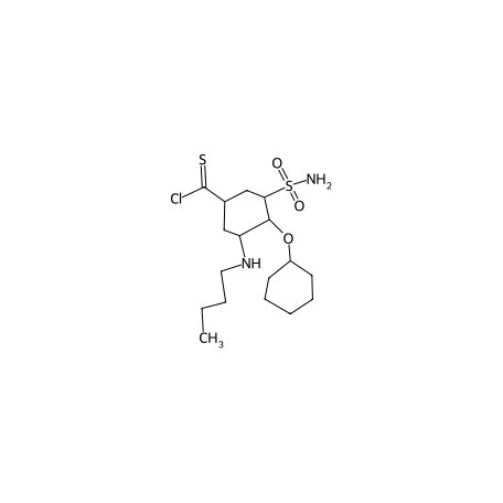 CCCCNC1CC(C(=S)Cl)CC(S(N)(=O)=O)C1OC1CCCCC1